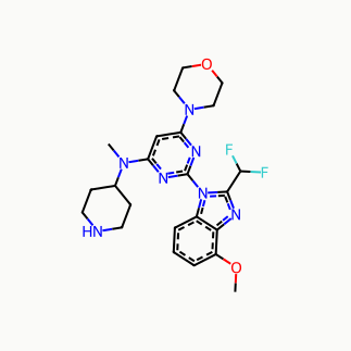 COc1cccc2c1nc(C(F)F)n2-c1nc(N2CCOCC2)cc(N(C)C2CCNCC2)n1